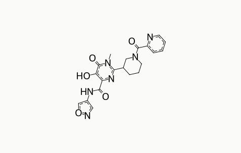 Cn1c(C2CCCN(C(=O)c3ccccn3)C2)nc(C(=O)Nc2cnoc2)c(O)c1=O